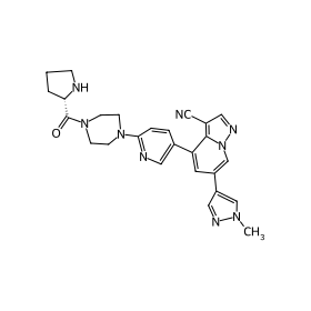 Cn1cc(-c2cc(-c3ccc(N4CCN(C(=O)[C@@H]5CCCN5)CC4)nc3)c3c(C#N)cnn3c2)cn1